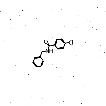 O=C(NCc1ccccc1)c1ccc(Cl)cc1